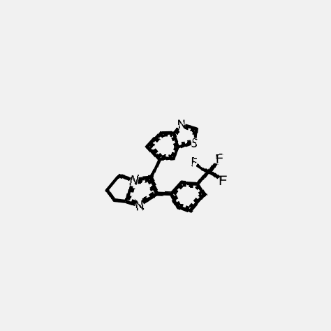 FC(F)(F)c1cccc(-c2nc3n(c2-c2ccc4ncsc4c2)CCC3)c1